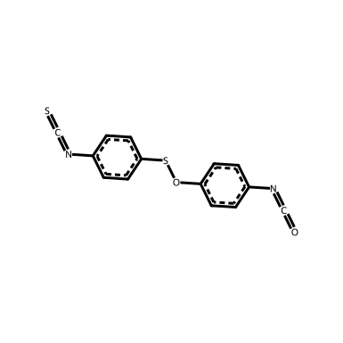 O=C=Nc1ccc(OSc2ccc(N=C=S)cc2)cc1